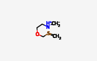 C=S1COCC[NH+]1[CH2-]